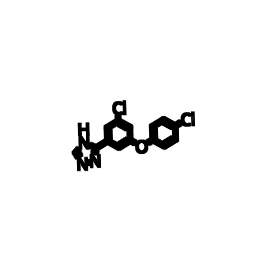 Clc1ccc(Oc2cc(Cl)cc(-c3nnc[nH]3)c2)cc1